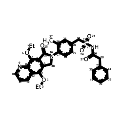 CCOc1c2c(c(OCC)c3ncccc13)C(=O)N(c1ccc(CS(=O)(=O)NC(=O)Cc3ccccc3)cc1C)C2